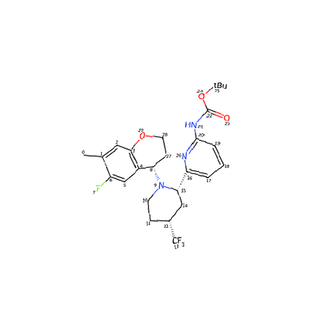 Cc1cc2c(cc1F)[C@@H](N1CC[C@@H](C(F)(F)F)C[C@H]1c1cccc(NC(=O)OC(C)(C)C)n1)CCO2